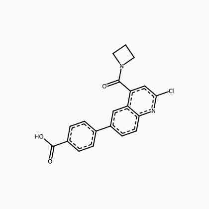 O=C(O)c1ccc(-c2ccc3nc(Cl)cc(C(=O)N4CCC4)c3c2)cc1